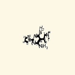 CC(CN(C)C)c1c(N)nc(-n2cccn2)nc1N